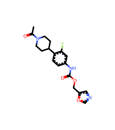 CC(=O)N1CCC(c2ccc(NC(=O)OCc3cnco3)cc2F)CC1